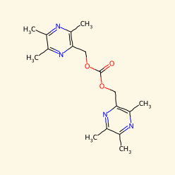 Cc1nc(C)c(COC(=O)OCc2nc(C)c(C)nc2C)nc1C